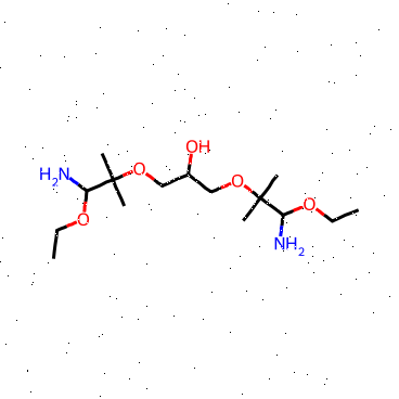 CCOC(N)C(C)(C)OCC(O)COC(C)(C)C(N)OCC